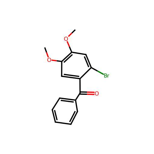 COc1cc(Br)c(C(=O)c2ccccc2)cc1OC